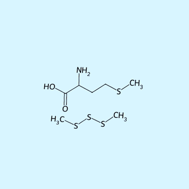 CSCCC(N)C(=O)O.CSSSC